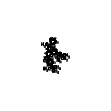 CCC(C)(CC(CC(C)(C)c1ccccn1)c1ccc(OC(C)(C)C)cc1)c1ccc(C(C)(C)C)cc1